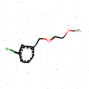 COCCOCc1cccc(Br)c1